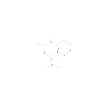 C=C1CN(C(=C)N)c2ccncc2N1